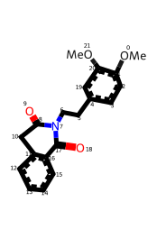 COc1ccc(CCN2C(=O)Cc3ccccc3C2=O)cc1OC